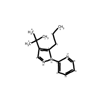 CCCc1c(C(C)(C)C)cnn1-c1ccccn1